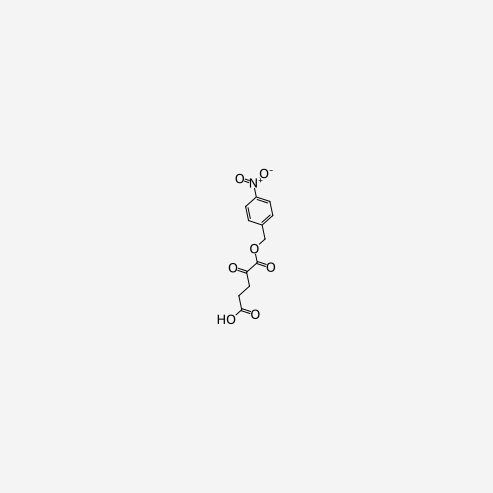 O=C(O)CCC(=O)C(=O)OCc1ccc([N+](=O)[O-])cc1